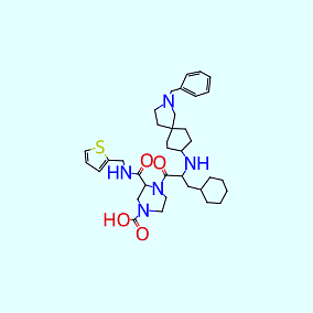 O=C(NCc1cccs1)C1CN(C(=O)O)CCN1C(=O)C(CC1CCCCC1)NC1CCC2(CC1)CCN(Cc1ccccc1)C2